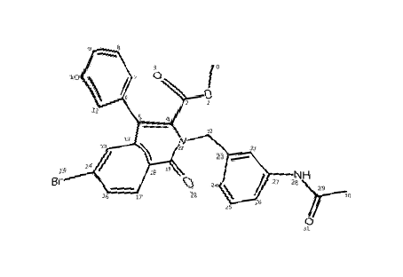 COC(=O)c1c(-c2ccccc2)c2cc(Br)ccc2c(=O)n1Cc1cccc(NC(C)=O)c1